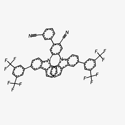 N#Cc1cccc(-c2cc(-n3c4ccccc4c4cc(-c5cc(C(F)(F)F)cc(C(F)(F)F)c5)ccc43)c(-n3c4ccccc4c4cc(-c5cc(C(F)(F)F)cc(C(F)(F)F)c5)ccc43)cc2C#N)c1